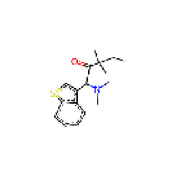 CCC(C)(C)C(=O)C(c1csc2ccccc12)N(C)C